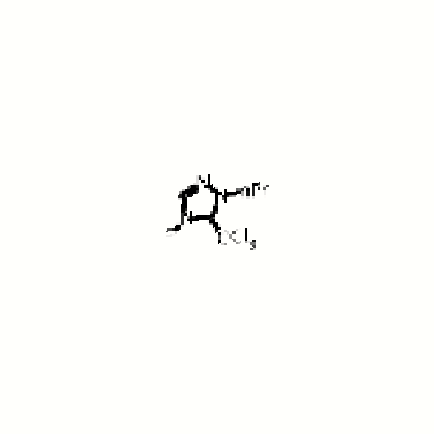 CCCN1N=CN(F)C1C(Cl)(Cl)Cl